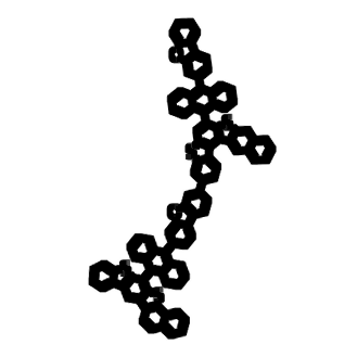 c1ccc2cc3c(cc2c1)sc1c(-c2c4ccccc4c(-c4ccc5c(c4)oc4ccccc45)c4ccccc24)cc2sc4cc(-c5ccc6c(c5)oc5cc(-c7c8ccccc8c(-c8c9sc%10ccccc%10c9cc9c8sc8c%10ccccc%10ccc98)c8ccccc78)ccc56)ccc4c2c13